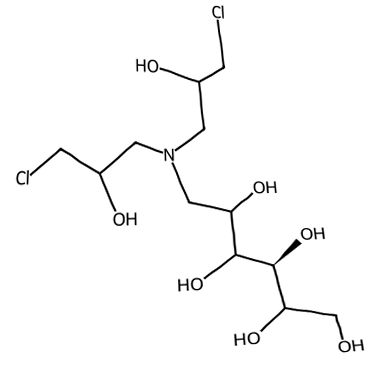 OCC(O)[C@H](O)C(O)C(O)CN(CC(O)CCl)CC(O)CCl